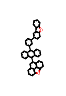 c1cc(-c2ccc3oc4ccccc4c3c2)cc(-c2c3ccccc3c(-c3cc4cccc5oc6cccc3c6c45)c3ccccc23)c1